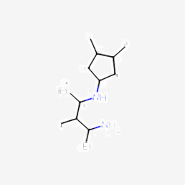 CCC(N)C(C)C(NC1CC(C)C(C)C1)C(C)C